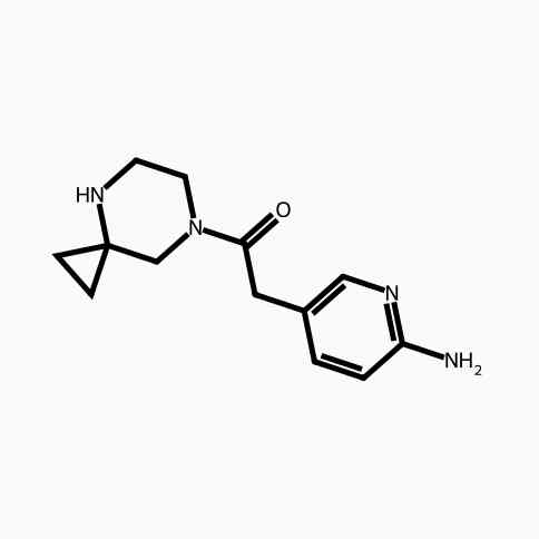 Nc1ccc(CC(=O)N2CCNC3(CC3)C2)cn1